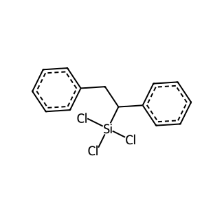 Cl[Si](Cl)(Cl)C(Cc1ccccc1)c1ccccc1